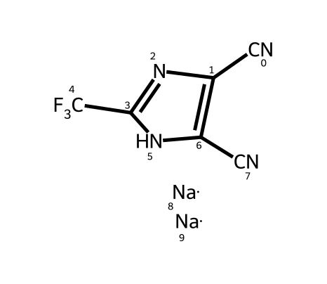 N#Cc1nc(C(F)(F)F)[nH]c1C#N.[Na].[Na]